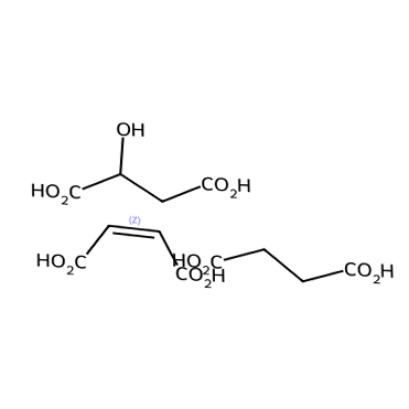 O=C(O)/C=C\C(=O)O.O=C(O)CC(O)C(=O)O.O=C(O)CCC(=O)O